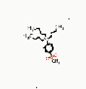 CCC[CH2][Sn]([CH2]CCC)([CH2]CCC)[c]1ccc(S(C)(=O)=O)cc1